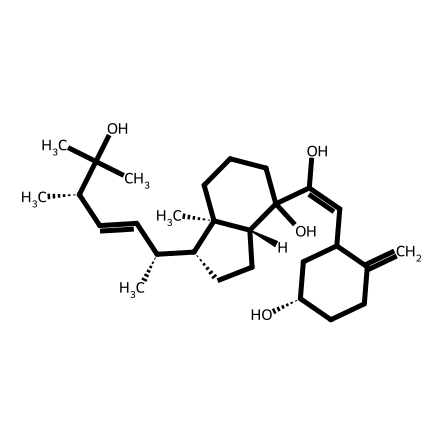 C=C1CC[C@H](O)CC1/C=C(/O)C1(O)CCC[C@]2(C)[C@@H]([C@H](C)/C=C/[C@H](C)C(C)(C)O)CC[C@@H]12